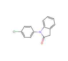 O=C1Cc2ccccc2N1c1ccc(Cl)cc1